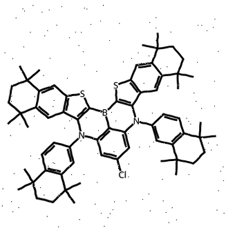 CC1(C)CCC(C)(C)c2cc(N3c4cc(Cl)cc5c4B(c4sc6cc7c(cc6c43)C(C)(C)CCC7(C)C)c3sc4cc6c(cc4c3N5c3ccc4c(c3)C(C)(C)CCC4(C)C)C(C)(C)CCC6(C)C)ccc21